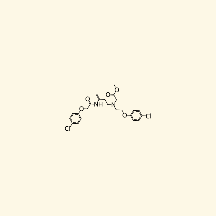 C=C(CCN(CCOc1ccc(Cl)cc1)CC(=O)OC)NC(=O)COc1ccc(Cl)cc1